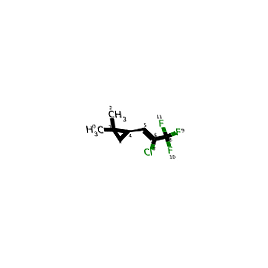 CC1(C)C[C@@H]1C=C(Cl)C(F)(F)F